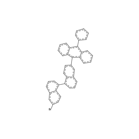 Brc1ccc2c(-c3cccc4cc(-c5c6ccccc6c(-c6ccccc6)c6ccccc56)ccc34)cccc2c1